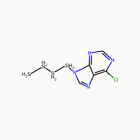 [SiH3][SiH2][SiH2][SiH2]n1cnc2c(Cl)ncnc21